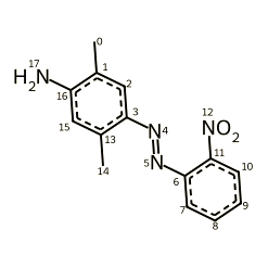 Cc1cc(/N=N/c2ccccc2[N+](=O)[O-])c(C)cc1N